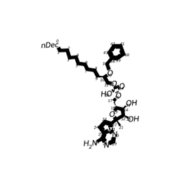 CCCCCCCCCCCCCCCCCCC[C@H](COP(=O)(O)OC[C@H]1O[C@@](C)(c2ccc3c(N)ncnn23)[C@H](O)[C@@H]1O)OCc1ccccc1